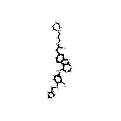 O=C(Cc1ccc2c(c1)sc1ncnc(Nc3ccc(OCc4cscn4)c(Cl)c3)c12)NCCCN1CCOCC1